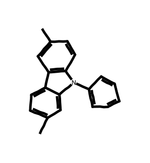 Cc1ccc2c(c1)c1ccc(C)cc1n2-c1ccccc1